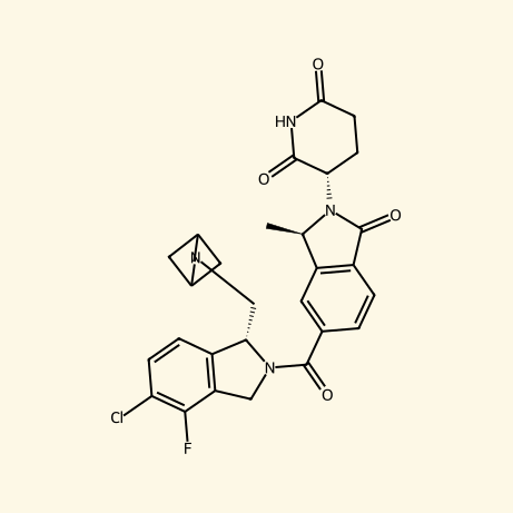 C[C@@H]1c2cc(C(=O)N3Cc4c(ccc(Cl)c4F)[C@@H]3CN3CC4CC3C4)ccc2C(=O)N1[C@H]1CCC(=O)NC1=O